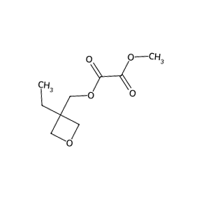 CCC1(COC(=O)C(=O)OC)COC1